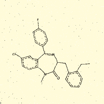 CCc1ccccc1CC1N=C(c2ccc(F)cc2)c2cc(Cl)ccc2N(C)C1=O